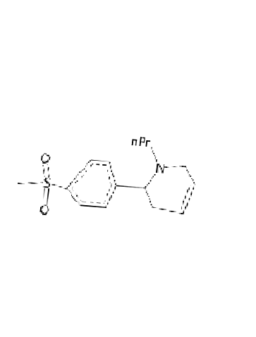 CCCN1CC=CCC1c1ccc(S(C)(=O)=O)cc1